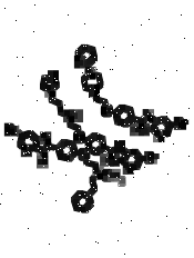 Brc1cnc2[nH]c(-c3ccc(OCCN4CCN(c5ccccn5)CC4)cc3)nc2c1.Brc1cnc2[nH]c(-c3ccc(OCCNCCCn4ccnc4)cc3)nc2c1.CN(CCOc1ccc(-c2nc3cc(Br)cnc3[nH]2)cc1)CCc1ccccc1